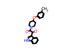 Cc1cccc(OC2CCN(C(=O)C(=O)c3c[nH]c4ccccc34)CC2)c1